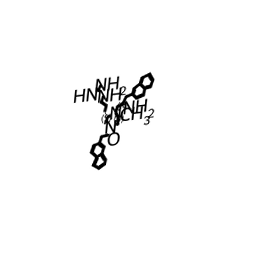 C[C@H]1CN(C(=O)Cc2ccc3ccccc3c2)C[C@H](CCCNC(=N)N)N1C[C@H](N)Cc1ccc2ccccc2c1